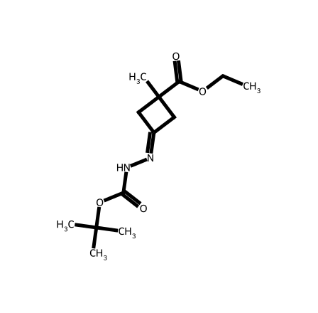 CCOC(=O)C1(C)CC(=NNC(=O)OC(C)(C)C)C1